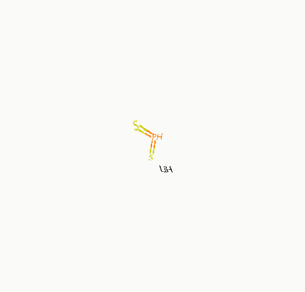 S=[PH]=S.[LiH]